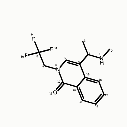 CNC(C)c1cn(CC(F)(F)F)c(=O)c2ccccc12